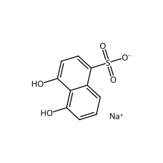 O=S(=O)([O-])c1ccc(O)c2c(O)cccc12.[Na+]